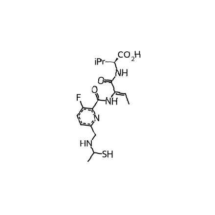 C/C=C(\NC(=O)c1nc(CNC(C)S)ccc1F)C(=O)N[C@H](C(=O)O)C(C)C